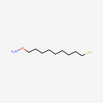 NOCCCCCCCCCS